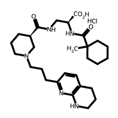 CC1(C(=O)N[C@@H](CNC(=O)[C@@H]2CCCN(CCCc3ccc4c(n3)NCCC4)C2)C(=O)O)CCCCC1.Cl